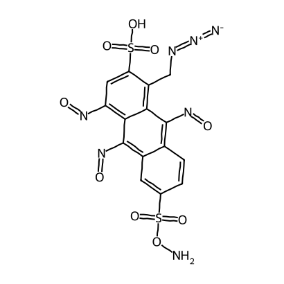 [N-]=[N+]=NCc1c(S(=O)(=O)O)cc(N=O)c2c(N=O)c3cc(S(=O)(=O)ON)ccc3c(N=O)c12